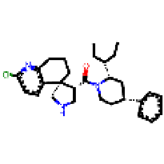 CCC(CC)[C@@H]1C[C@H](c2ccccc2)CCN1C(=O)[C@@H]1CNC[C@]12CCCc1nc(Cl)ccc12